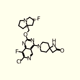 O=C1CC2(CCN(c3nc(OC[C@@]45CCCN4C[C@H](F)C5)nc4c(F)c(Cl)ncc34)CC2)N1